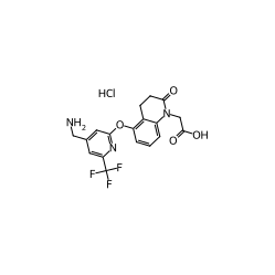 Cl.NCc1cc(Oc2cccc3c2CCC(=O)N3CC(=O)O)nc(C(F)(F)F)c1